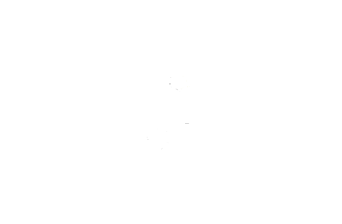 [CH2]CC(CCc1cccs1)c1ccccc1